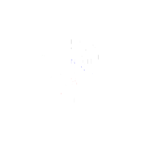 COC(=O)c1ccc(Br)cc1S(N)(=O)=N[Si](C)(C)C(C)(C)C